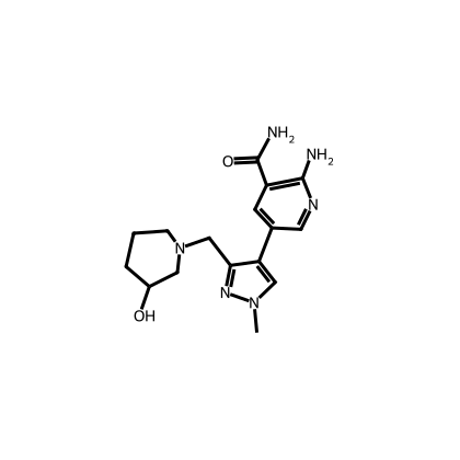 Cn1cc(-c2cnc(N)c(C(N)=O)c2)c(CN2CCCC(O)C2)n1